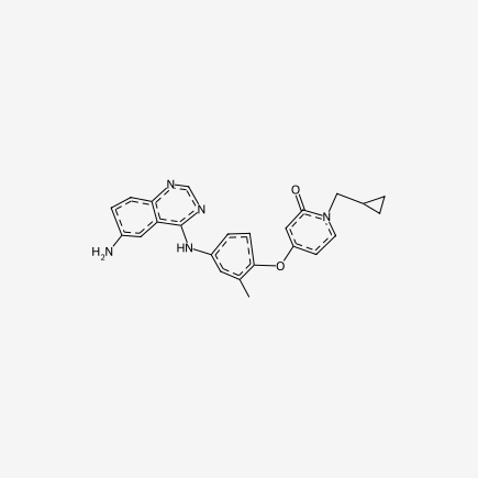 Cc1cc(Nc2ncnc3ccc(N)cc23)ccc1Oc1ccn(CC2CC2)c(=O)c1